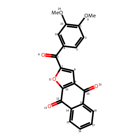 COc1ccc(C(=O)c2cc3c(o2)C(=O)c2ccccc2C3=O)cc1OC